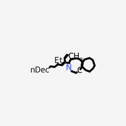 C\C=C/C(=C\C(CC)CCCCCCCCCCCC)C1=N/CCC/C2=C(/CCCCCCC2)CCC\1